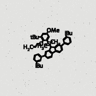 C=CCOc1c(C(C)(C)C)cc(OC)cc1[Si](C)(C)C1c2cc(-c3cccc(C(C)CC)c3)ccc2-c2ccc(-c3cccc(C(C)CC)c3)cc21